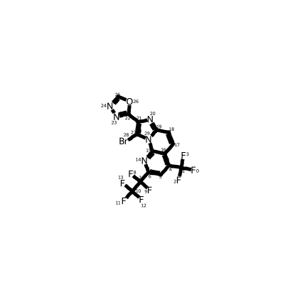 FC(F)(F)c1cc(C(F)(F)C(F)(F)F)nc2c1ccc1nc(-c3nnco3)c(Br)n12